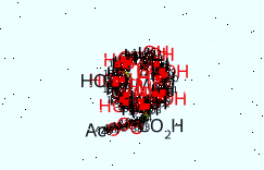 CN[C@H](CSCC1O[C@H]2O[C@@H]3C(CO)O[C@H](O[C@@H]4C(CO)O[C@@H](O[C@@H]5C(CO)O[C@H](O[C@@H]6C(CSC[C@@H](CC(=O)CCOCCOCCC(C)=O)C(=O)O)O[C@H](O[C@@H]7C(CO)O[C@@H](O[C@@H]8C(CO)O[C@@H](O[C@H]1[C@H](O)C2O)C(O)[C@H]8O)C(O)[C@H]7O)C(O)[C@H]6O)C(O)[C@H]5O)C(O)[C@H]4O)C(O)[C@H]3O)C(=O)O